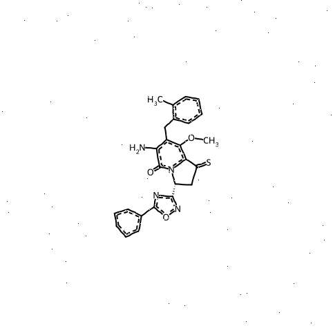 COc1c(Cc2ccccc2C)c(N)c(=O)n2c1C(=S)C[C@@H]2c1noc(-c2ccccc2)n1